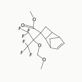 COCOC(C(F)(F)F)(C(F)(F)F)C1(C(=O)OC)CC2C3C=CC(C3)C21